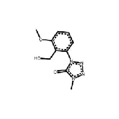 COc1cccc(-n2nnn(C)c2=O)c1CO